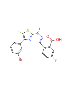 CN(/N=C/c1ccc(F)cc1C(=O)O)c1nc(-c2cccc(Br)c2)c(F)s1